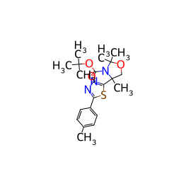 Cc1ccc(-c2nnc(C3(C)COC(C)(C)N3C(=O)OC(C)(C)C)s2)cc1